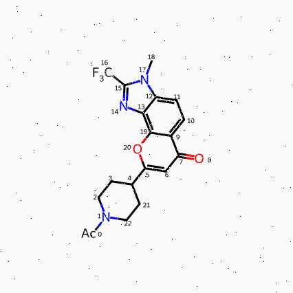 CC(=O)N1CCC(c2cc(=O)c3ccc4c(nc(C(F)(F)F)n4C)c3o2)CC1